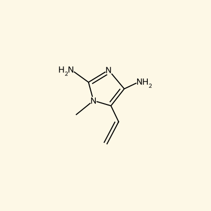 C=Cc1c(N)nc(N)n1C